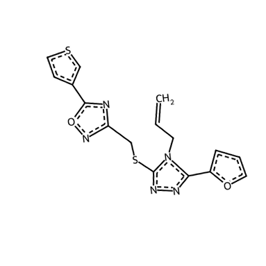 C=CCn1c(SCc2noc(-c3ccsc3)n2)nnc1-c1ccco1